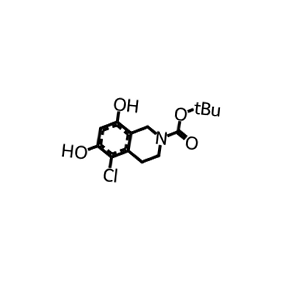 CC(C)(C)OC(=O)N1CCc2c(Cl)c(O)cc(O)c2C1